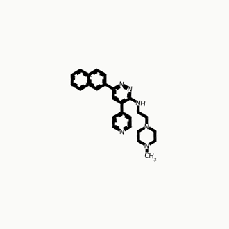 CN1CCN(CCNc2nnc(-c3ccc4ccccc4c3)cc2-c2ccncc2)CC1